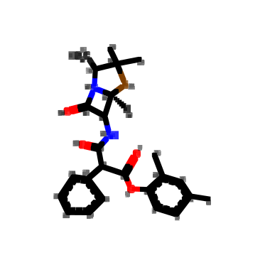 Cc1ccc(OC(=O)C(C(=O)NC2C(=O)N3C(C(=O)O)C(C)(C)S[C@@H]23)c2ccccc2)c(C)c1